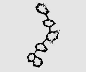 c1cncc(-c2ccc(-c3cc(-c4ccc(-c5cccc6ccccc56)cc4)ncn3)cc2)c1